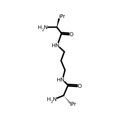 CC(C)[C@H](N)C(=O)NCCCNC(=O)[C@@H](N)C(C)C